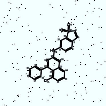 O=S1(=O)C=Cc2ccc(Nc3nc(-c4ccccc4)c4c(Cl)cccc4n3)cc21